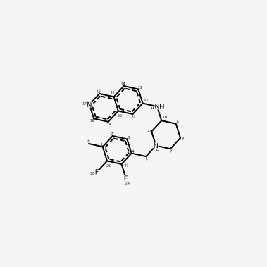 Cc1ccc(CN2CCCC(Nc3ccc4cnccc4c3)C2)c(F)c1F